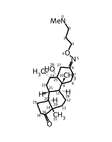 CNCCCO/N=C1/CC[C@]2(C)[C@H]3CC[C@]4(C)C(=O)CC[C@H]4[C@@H]3C[C@H](C)[C@@]2(O)C1